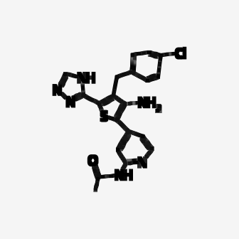 CC(=O)Nc1cc(-c2sc(-c3nnc[nH]3)c(Cc3ccc(Cl)cc3)c2N)ccn1